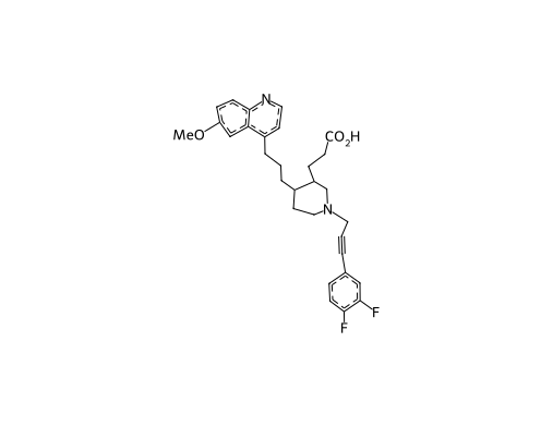 COc1ccc2nccc(CCCC3CCN(CC#Cc4ccc(F)c(F)c4)CC3CCC(=O)O)c2c1